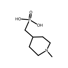 CN1CCC(CP(=O)(O)O)CC1